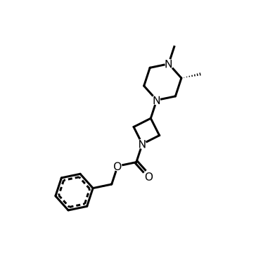 C[C@@H]1CN(C2CN(C(=O)OCc3ccccc3)C2)CCN1C